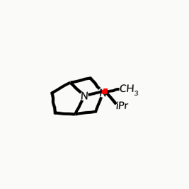 CC(C)CN1C2CCC1CN(C)C2